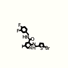 O=C(NCc1ccc(F)c(F)c1)c1cc(I)cnc1NCc1ccc(Br)s1